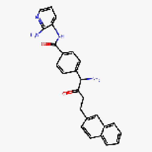 Nc1ncccc1NC(=O)c1ccc(C(N)C(=O)CCc2ccc3ccccc3c2)cc1